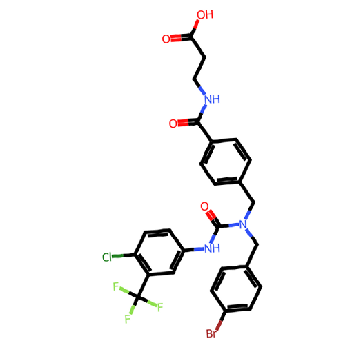 O=C(O)CCNC(=O)c1ccc(CN(Cc2ccc(Br)cc2)C(=O)Nc2ccc(Cl)c(C(F)(F)F)c2)cc1